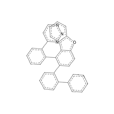 c1ccc(-c2ccccc2-c2ccc3oc4ccccc4c3c2-c2ccccc2-c2ccnnn2)cc1